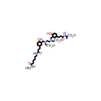 CCCCNC(=O)CCCCCNC(=O)CCc1ccc(O)c(CN(CCN(CC(=O)O)Cc2cc(CCC(=O)NC(C)C(=O)O)ccc2O)CC(=O)O)c1